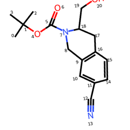 CC(C)(C)OC(=O)N1Cc2cc(C#N)ccc2CC1CO